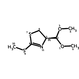 COC(OC)[C@@H]1CSC(SC)=N1